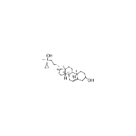 CC(O)(CCC[C@H]1CC[C@H]2[C@@H]3CC=C4CC(O)CCC4(C)C3CCC12C)C1CC1